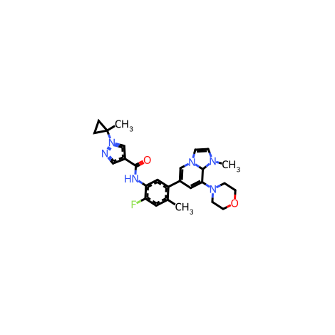 Cc1cc(F)c(NC(=O)c2cnn(C3(C)CC3)c2)cc1C1=CN2C=CN(C)C2C(N2CCOCC2)=C1